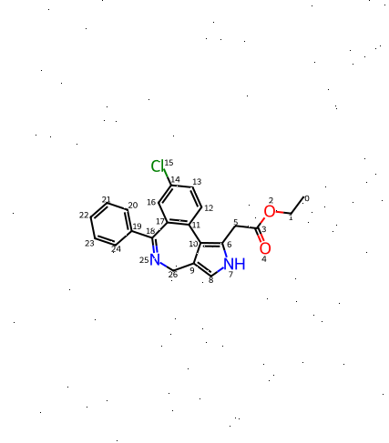 CCOC(=O)Cc1[nH]cc2c1-c1ccc(Cl)cc1C(c1ccccc1)=NC2